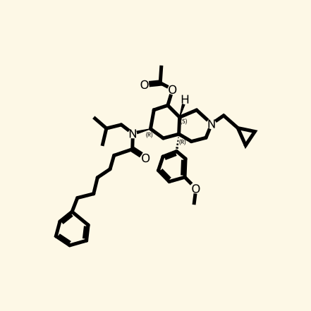 COc1cccc([C@@]23CCN(CC4CC4)C[C@H]2C(OC(C)=O)C[C@H](N(CC(C)C)C(=O)CCCCCc2ccccc2)C3)c1